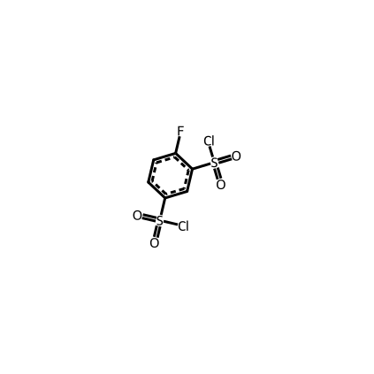 O=S(=O)(Cl)c1ccc(F)c(S(=O)(=O)Cl)c1